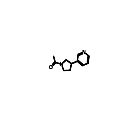 CC(=O)N1CCC(c2cccnc2)C1